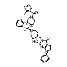 Cc1ncsc1C(=O)N1CC[C@@H](C(=O)N2CCC(O)(Cn3cnc4c(ccn4-c4ccccc4)c3=O)CC2)[C@H](c2ccccc2)C1